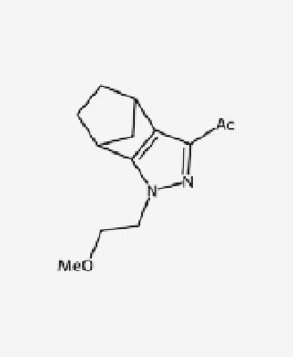 COCCn1nc(C(C)=O)c2c1C1CCC2C1